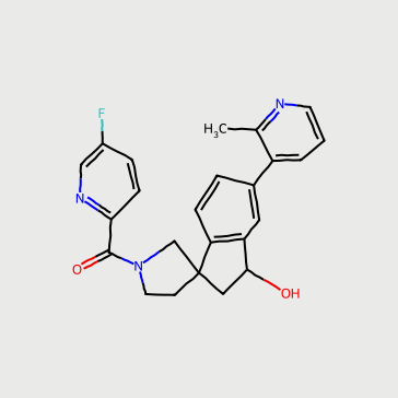 Cc1ncccc1-c1ccc2c(c1)C(O)CC21CCN(C(=O)c2ccc(F)cn2)C1